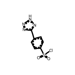 O=S(=O)(Cl)c1ccc(-c2nn[nH]n2)cc1